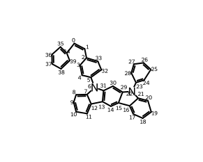 C(=C/c1ccc(-n2c3ccccc3c3cc4c5ccccc5n(-c5ccccc5)c4cc32)cc1)/c1ccccc1